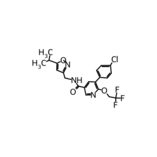 CC(C)c1cc(CNC(=O)c2cnc(OCC(F)(F)F)c(-c3ccc(Cl)cc3)c2)no1